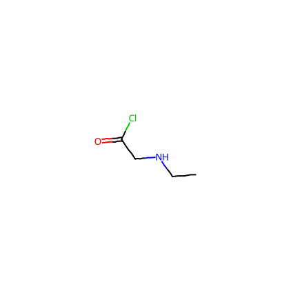 CCNCC(=O)Cl